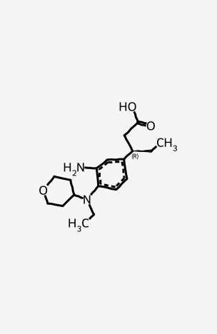 CC[C@H](CC(=O)O)c1ccc(N(CC)C2CCOCC2)c(N)c1